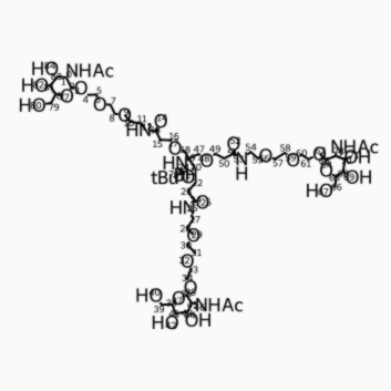 CC(=O)NC1C(OCCOCCOCCNC(=O)CCOCC(COCCC(=O)NCCOCCOCCOC2OC(CO)C(O)C(O)C2NC(C)=O)(COCCC(=O)NCCOCCOCCOC2OC(CO)C(O)C(O)C2NC(C)=O)NBC(C)(C)C)OC(CO)C(O)C1O